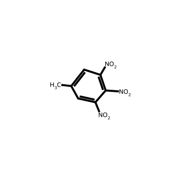 Cc1cc([N+](=O)[O-])c([N+](=O)[O-])c([N+](=O)[O-])c1